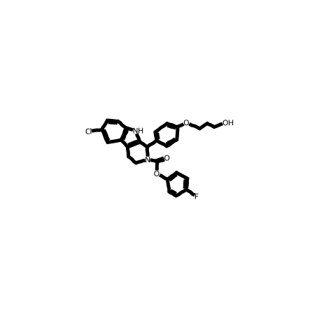 O=C(Oc1ccc(F)cc1)N1CCc2c([nH]c3ccc(Cl)cc23)C1c1ccc(OCCCO)cc1